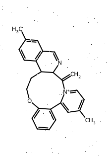 C=C1C2N=Cc3cc(C)ccc3C2CCOc2ccccc2-c2cc(C)cc[n+]21